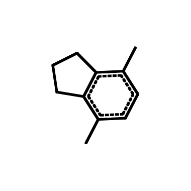 Cc1ccc(C)c2c1CCC2